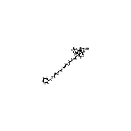 CC1(C)O[C@@H]2C(N=[N+]=[N-])[C@H]3OC[C@](CCOCCOCCOCCOCCOCc4ccccc4)(O3)[C@@H]2O1